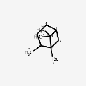 [CH2]C(CC)C12CC(CCC1C)C2(C)C